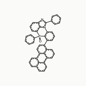 O=P1(c2ccccc2)c2c(-c3ccc4c5cccc6cccc(c7cccc3c74)c65)cccc2-n2c(-c3ccccc3)nc3cccc1c32